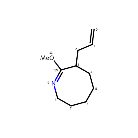 C=CCC1CCCCCN=C1OC